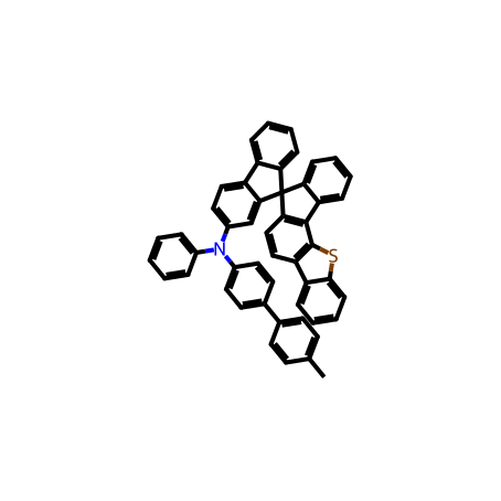 Cc1ccc(-c2ccc(N(c3ccccc3)c3ccc4c(c3)C3(c5ccccc5-4)c4ccccc4-c4c3ccc3c4sc4ccccc43)cc2)cc1